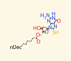 CCCCCCCCCCCCCCCC(=O)OC[C@H]1O[C@@H](n2c(S)nc3c(=O)[nH]c(N)nc32)C[C@@H]1O